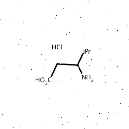 CC(C)C(N)CC(=O)O.Cl